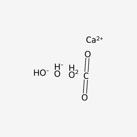 O.O=C=O.[Ca+2].[OH-].[OH-]